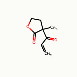 C=CC(=O)C1(C)CCOC1=O